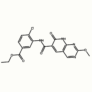 CCOC(=O)c1ccc(Cl)c(NC(=O)c2cc3cnc(OC)nc3[nH]c2=O)c1